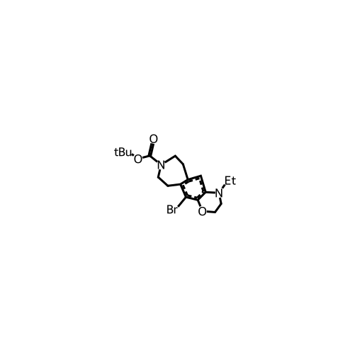 CCN1CCOc2c1cc1c(c2Br)CCN(C(=O)OC(C)(C)C)CC1